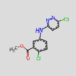 COC(=O)c1cc(Nc2ccc(Cl)nn2)ccc1Cl